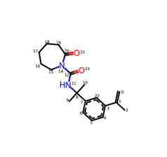 C=C(C)c1cccc(C(C)(C)NC(=O)N2CCCCCC2=O)c1